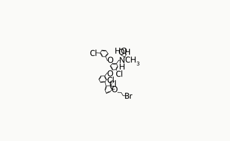 CC(CO)(CO)NCc1cc(Cl)c(OCc2cccc(-c3cccc(OCCCBr)c3Cl)c2Cl)cc1OCc1cccc(Cl)c1